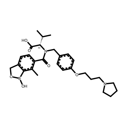 Cc1c(C(=O)N(Cc2ccc(OCCCN3CCCC3)cc2)[C@H](C(=O)O)C(C)C)ccc2c1B(O)OC2